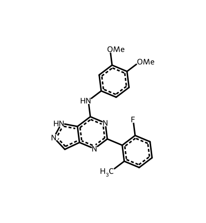 COc1ccc(Nc2nc(-c3c(C)cccc3F)nc3cn[nH]c23)cc1OC